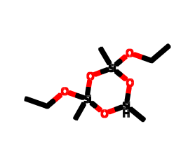 CCO[Si]1(C)O[SiH](C)O[Si](C)(OCC)O1